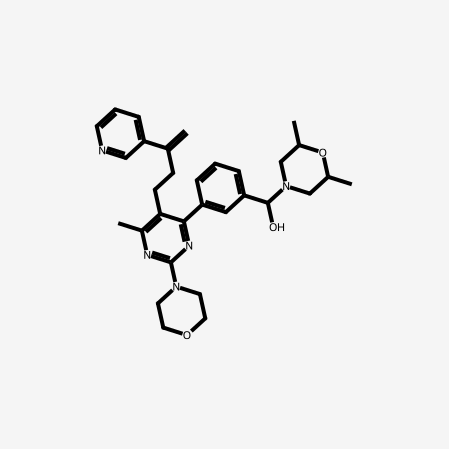 C=C(CCc1c(C)nc(N2CCOCC2)nc1-c1cccc(C(O)N2CC(C)OC(C)C2)c1)c1cccnc1